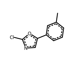 Cc1cccc(-c2cnc(Cl)o2)c1